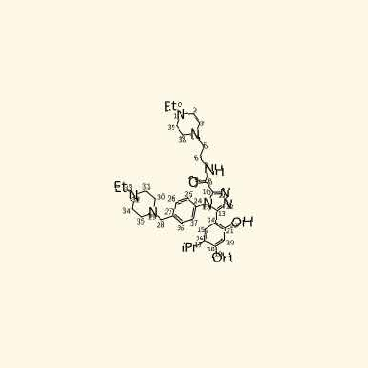 CCN1CCN(CCNC(=O)c2nnc(-c3cc(C(C)C)c(O)cc3O)n2-c2ccc(CN3CCN(CC)CC3)cc2)CC1